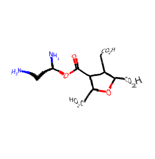 NCC(N)OC(=O)C1C(C(=O)O)OC(C(=O)O)C1C(=O)O